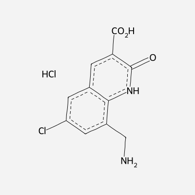 Cl.NCc1cc(Cl)cc2cc(C(=O)O)c(=O)[nH]c12